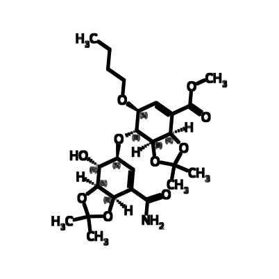 CCCCO[C@H]1C=C(C(=O)OC)[C@H]2OC(C)(C)O[C@H]2[C@@H]1O[C@H]1C=C(C(N)=O)[C@H]2OC(C)(C)O[C@H]2[C@@H]1O